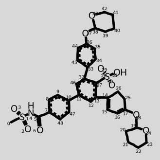 CS(=O)(=O)NC(=O)c1ccc(-c2cc(C3=CC=C(OC4CCCCO4)CC3)c(S(=O)(=O)O)c(-c3ccc(OC4CCCCO4)cc3)c2)cc1